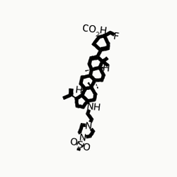 C=C(C)[C@@H]1CC[C@]2(NCCN3CCN(S(C)(=O)=O)CC3)CC[C@]3(C)[C@H](CCC4[C@@]5(C)CC=C(C6=CC[C@](CF)(C(=O)O)CC6)C(C)(C)[C@@H]5CC[C@]43C)C12